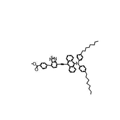 CCCCCCCCc1ccc(N(c2ccc(CCCCCCCC)cc2)c2c3ccccc3c(C#Cc3ccc(-c4ccc(C(=O)OC)cc4)c4nsnc34)c3ccccc23)cc1